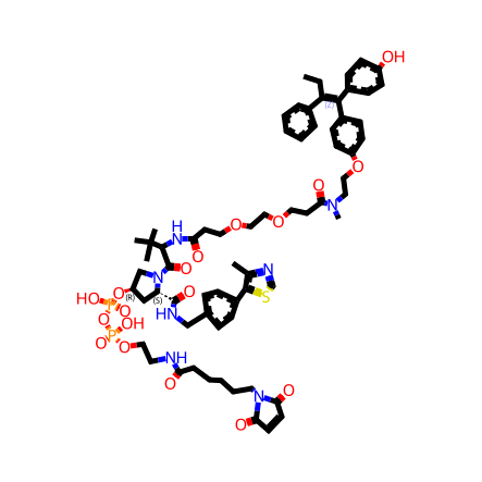 CC/C(=C(\c1ccc(O)cc1)c1ccc(OCCN(C)C(=O)CCOCCOCCC(=O)NC(C(=O)N2C[C@H](OP(=O)(O)OP(=O)(O)OCCNC(=O)CCCCCN3C(=O)C=CC3=O)C[C@H]2C(=O)NCc2ccc(-c3scnc3C)cc2)C(C)(C)C)cc1)c1ccccc1